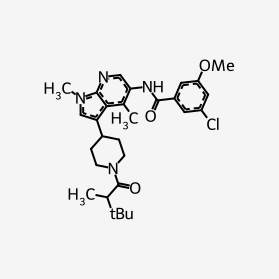 COc1cc(Cl)cc(C(=O)Nc2cnc3c(c(C4CCN(C(=O)C(C)C(C)(C)C)CC4)cn3C)c2C)c1